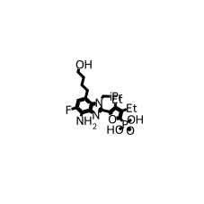 CCc1c(-c2nc3c(N)c(F)cc(CCCCO)c3n2CC(C)C)oc(P(=O)(O)O)c1CC